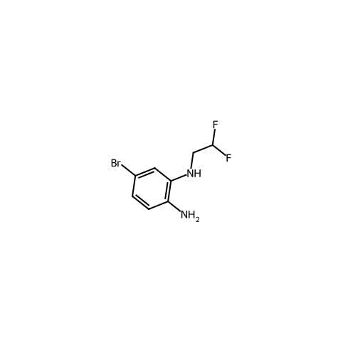 Nc1ccc(Br)cc1NCC(F)F